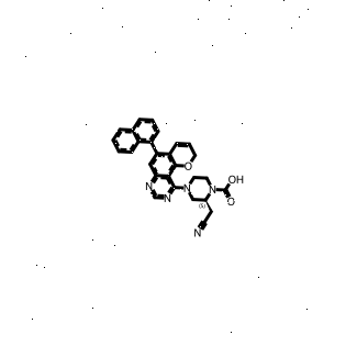 N#CC[C@H]1CN(c2ncnc3cc(-c4cccc5ccccc45)c4c(c23)OCC=C4)CCN1C(=O)O